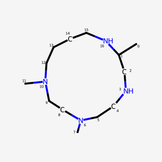 CC1CNCCN(C)CCN(C)CCCCN1